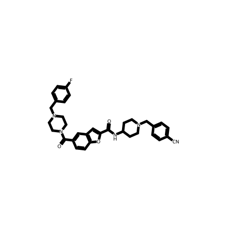 N#Cc1ccc(CN2CCC(NC(=O)c3cc4cc(C(=O)N5CCN(Cc6ccc(F)cc6)CC5)ccc4o3)CC2)cc1